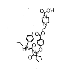 CCC[C@@H](NC(=O)N1C(=O)C(CC)(CC)[C@@H]1Oc1ccc(C(=O)OCCN2CCN(C(=O)O)CC2)cc1)c1ccc(C)cc1